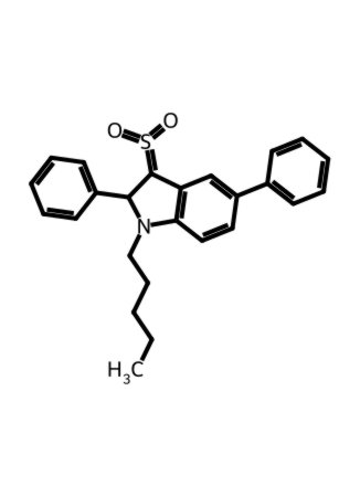 CCCCCN1c2ccc(-c3ccccc3)cc2C(=S(=O)=O)C1c1ccccc1